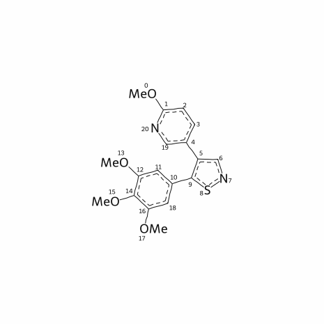 COc1ccc(-c2cnsc2-c2cc(OC)c(OC)c(OC)c2)cn1